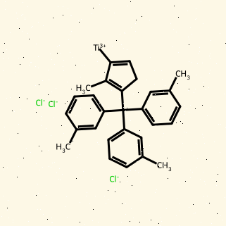 CC1=C(C(c2cccc(C)c2)(c2cccc(C)c2)c2cccc(C)c2)CC=[C]1[Ti+3].[Cl-].[Cl-].[Cl-]